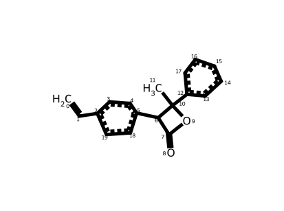 C=Cc1ccc(C2C(=O)OC2(C)c2ccccc2)cc1